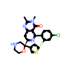 Cc1nc2cc([C@]3(c4ccsc4)CNCCO3)nc(-c3ccc(Cl)cc3F)c2c(=O)n1C